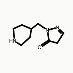 O=C1CC=NN1CC1CCNCC1